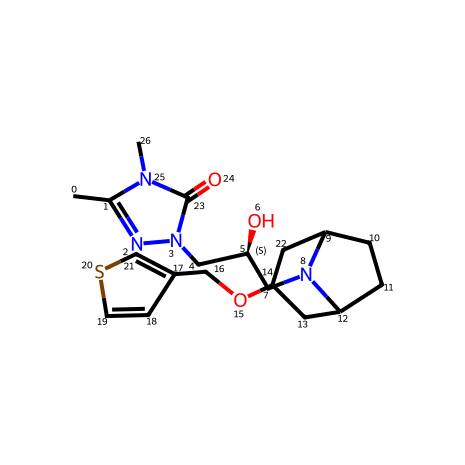 Cc1nn(C[C@@H](O)CN2C3CCC2CC(OCc2ccsc2)C3)c(=O)n1C